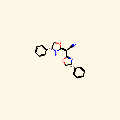 N#C/C(C1=N[C@H](c2ccccc2)CO1)=C1/N[C@H](c2ccccc2)CO1